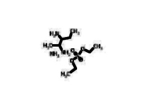 CCC(N)C(C)N.CCOS(=O)(=O)OCC.N